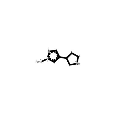 CCCC(C)n1cc(C2CCNC2)cn1